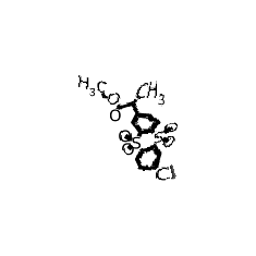 CCOC(=O)C(C)c1ccc2c(c1)S(=O)(=O)c1ccc(Cl)cc1S2(=O)=O